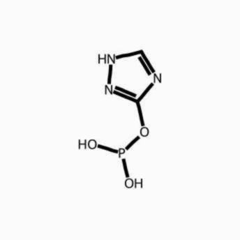 OP(O)Oc1nc[nH]n1